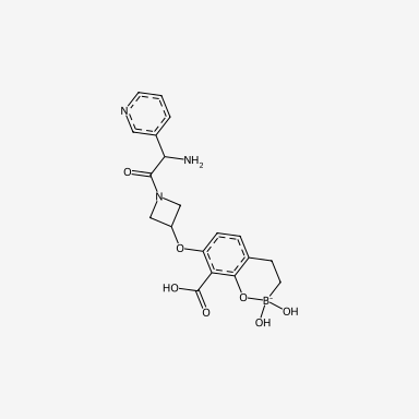 NC(C(=O)N1CC(Oc2ccc3c(c2C(=O)O)O[B-](O)(O)CC3)C1)c1cccnc1